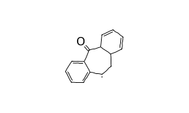 O=C1c2ccccc2[CH]CC2C=CC=CC12